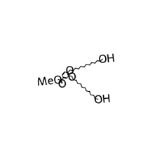 COC(=O)c1ccc(OCCCCCCCCCCCO)c(OCCCCCCCCCCCO)c1